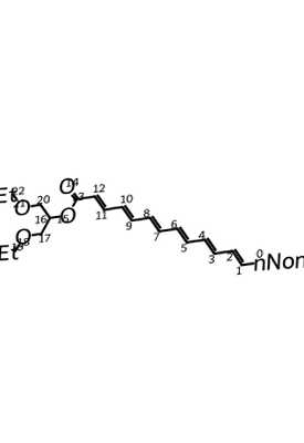 CCCCCCCCCC=CC=CC=CC=CC=CC=CC(=O)OC(COCC)COCC